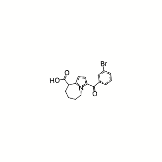 O=C(c1cccc(Br)c1)c1ccc2n1CCCCC2C(=O)O